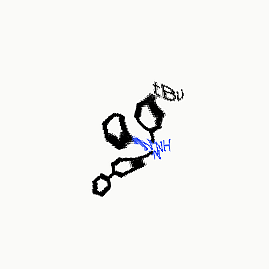 CC(C)(C)C1=CCC(C2NN=C(c3ccc(-c4ccccc4)cc3)N2c2ccccc2)C=C1